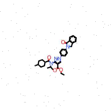 CCOC(=O)c1cn(-c2ccc(N3Cc4ccccc4C3=O)cc2)nc1N(C(=O)C1CCC(C)CC1)C(C)C